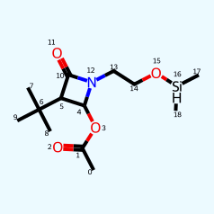 CC(=O)OC1C(C(C)(C)C)C(=O)N1CCO[SiH](C)C